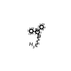 CCCCCOc1cc(-c2ccccc2)nc(-c2ccccc2)c1